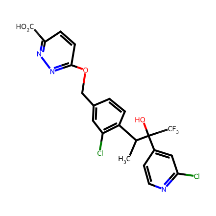 CC(c1ccc(COc2ccc(C(=O)O)nn2)cc1Cl)C(O)(c1ccnc(Cl)c1)C(F)(F)F